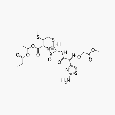 CCC(=O)OC(C)OC(=O)C1=C(SC)CS[C@H]2C(NC(=O)C(=NOCC(=O)OC)c3csc(N)n3)C(=O)N12